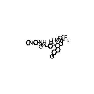 C[C@]12C[C@H](c3ccc(COC(=O)Nc4ccc(N5CCCCC5)cc4)cc3)C3=C4CCC(=O)C=C4CCC3C1CC[C@@]2(O)C(F)(F)C(F)(F)F